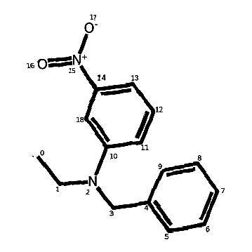 [CH2]CN(Cc1ccccc1)c1cccc([N+](=O)[O-])c1